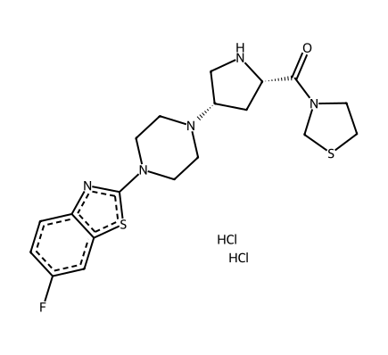 Cl.Cl.O=C([C@@H]1C[C@H](N2CCN(c3nc4ccc(F)cc4s3)CC2)CN1)N1CCSC1